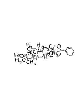 CC1(C)C[C@@H]2C3=CC[C@@H]4[C@@]5(C)CCC6OC(c7ccccc7)OC[C@@]6(C)C5CC[C@@]4(C)[C@]3(C)CC[C@@]2(C)C[C@@H]1O